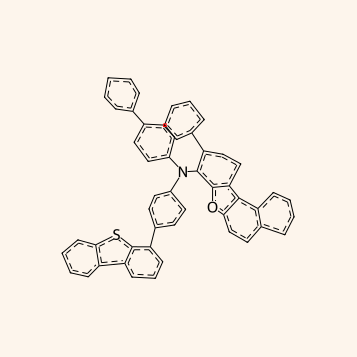 c1ccc(-c2ccc(N(c3ccc(-c4cccc5c4sc4ccccc45)cc3)c3c(-c4ccccc4)ccc4c3oc3ccc5ccccc5c34)cc2)cc1